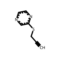 C#CCSc1cnccn1